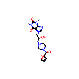 Cn1c(=O)c2c(ncn2CC(O)CN2CCN(C(=O)c3ccco3)CC2)n(C)c1=O